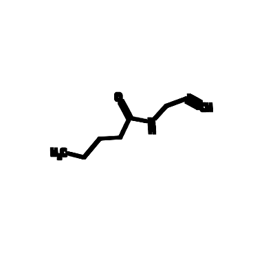 C#CCNC(=O)CCCC